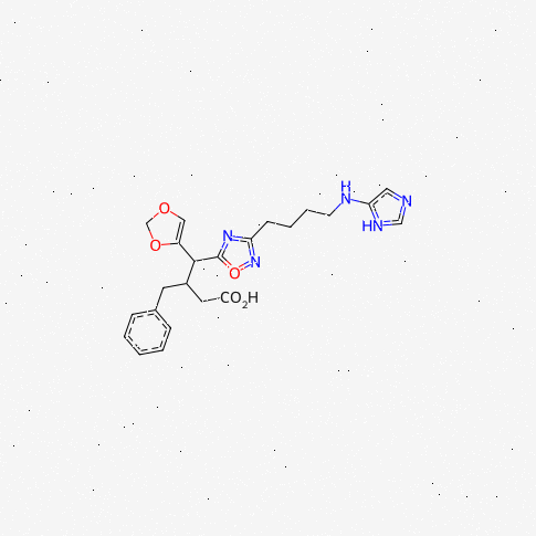 O=C(O)CC(Cc1ccccc1)C(C1=COCO1)c1nc(CCCCNc2cnc[nH]2)no1